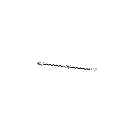 O=C(O)CCCCCCCCCCCSSSSSCCCCCCCCCCCC(=O)O